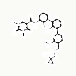 COc1nc(-c2cccc(-c3cccc(NC(=O)c4cn(C)c(=O)n(C)c4=O)c3C)c2Cl)ccc1CNCC1(O)CC1